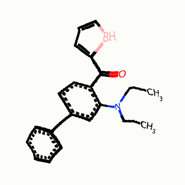 CCN(CC)c1cc(-c2ccccc2)ccc1C(=O)C1=CC=CB1